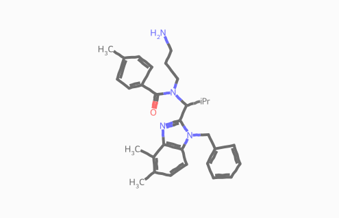 Cc1ccc(C(=O)N(CCCN)C(c2nc3c(C)c(C)ccc3n2Cc2ccccc2)C(C)C)cc1